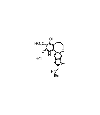 CCC(C)NCc1cc2cc3c(cc2n1C)OCCCc1c-3[nH]c(=O)c(C(=O)O)c1O.Cl